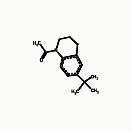 CC(=O)N1CC[C]c2cc(C(C)(C)C)ccc21